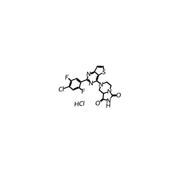 Cl.O=C1NC(=O)N2CCN(c3nc(-c4cc(F)c(Cl)cc4F)nc4ccsc34)CC12